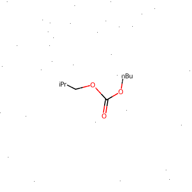 CCCCOC(=O)OCC(C)C